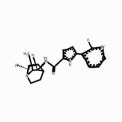 C[C@H]1[C@H](NC(=O)c2ccc(-c3cccnc3F)[nH]2)C2CCN1CC2